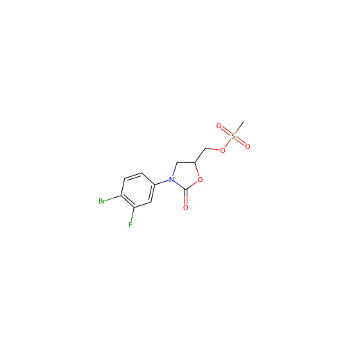 CS(=O)(=O)OCC1CN(c2ccc(Br)c(F)c2)C(=O)O1